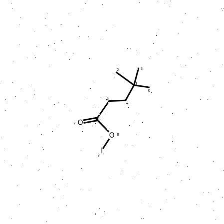 CC(C)(C)CCC(=O)OI